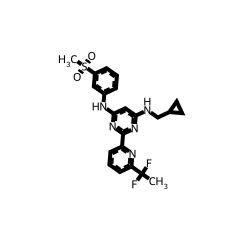 CC(F)(F)c1cccc(-c2nc(NCC3CC3)cc(Nc3cccc(S(C)(=O)=O)c3)n2)n1